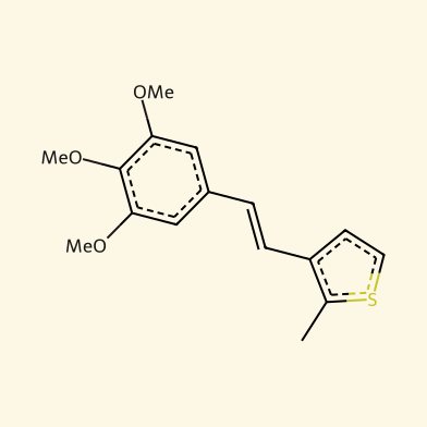 COc1cc(C=Cc2ccsc2C)cc(OC)c1OC